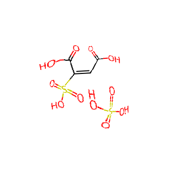 O=C(O)/C=C(\C(=O)O)S(=O)(=O)O.O=S(=O)(O)O